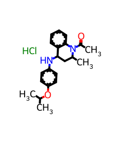 CC(=O)N1c2ccccc2C(Nc2ccc(OC(C)C)cc2)CC1C.Cl